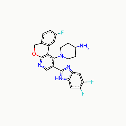 NC1CCN(c2c(-c3nc4cc(F)c(F)cc4[nH]3)cnc3c2-c2cc(F)ccc2CO3)CC1